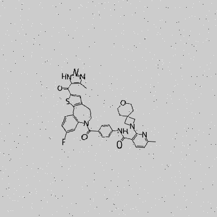 Cc1ccc(C(=O)Nc2ccc(C(=O)N3CCc4cc(C(=O)c5[nH]nnc5C)sc4-c4ccc(F)cc43)cc2)c(N2CC3(CCOCC3)C2)n1